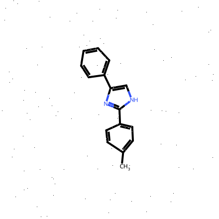 Cc1ccc(-c2nc(-c3ccccc3)c[nH]2)cc1